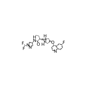 CCC(C(=O)Nc1cnn(C(F)F)c1)[C@H]1[C@@H]2C[C@H](Oc3ccnc4ccc(F)cc34)C[C@@H]21